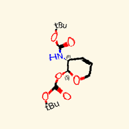 CC(C)(C)OC(=O)N[C@@H]1C=CCO[C@H]1OC(=O)OC(C)(C)C